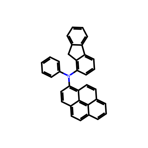 c1ccc(N(c2cccc3c2Cc2ccccc2-3)c2ccc3ccc4cccc5ccc2c3c45)cc1